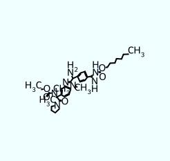 CCCCCCCCOC(=O)NC(=N)c1ccc(C(N)c2nc3cc(C(C)(C(=O)N4CCCC4)N(C)C(=O)OCC)ccc3n2C)cc1